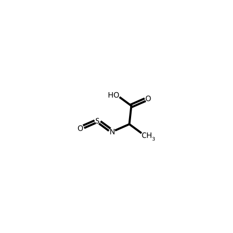 CC(N=S=O)C(=O)O